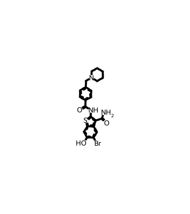 NC(=O)c1c(NC(=O)c2ccc(CN3CCCCC3)cc2)sc2cc(O)c(Br)cc12